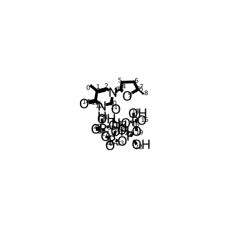 Cc1cn([C@H]2CC[C@@H](C)O2)c(=O)[nH]c1=O.O=P(O)(O)OP(=O)(O)OP(=O)(O)OP(=O)(O)O